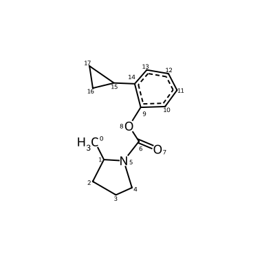 CC1CCCN1C(=O)Oc1ccccc1C1CC1